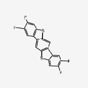 Fc1cc2sc3cc4c(cc3c2cc1F)sc1cc(F)c(F)cc14